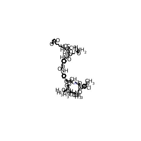 COc1ccc(C[C@H]2NC(=O)/C=C/C[C@H]([C@H](C)[C@H]3O[C@@H]3c3ccc(CNC(=O)OCc4ccc(NC(=O)[C@H](CCCNC(N)=O)NC(=O)[C@@H](NC(=O)CCCCCN5C(=O)C=CC5=O)C(C)C)cc4)cc3)OC(=O)[C@H](CC(C)(C)C)NC(=O)C(C)(C)[C@H](C)NC2=O)cc1Cl